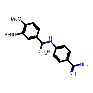 COc1ccc(C(Nc2ccc(C(=N)N)cc2)C(=O)O)cc1NC(C)=O